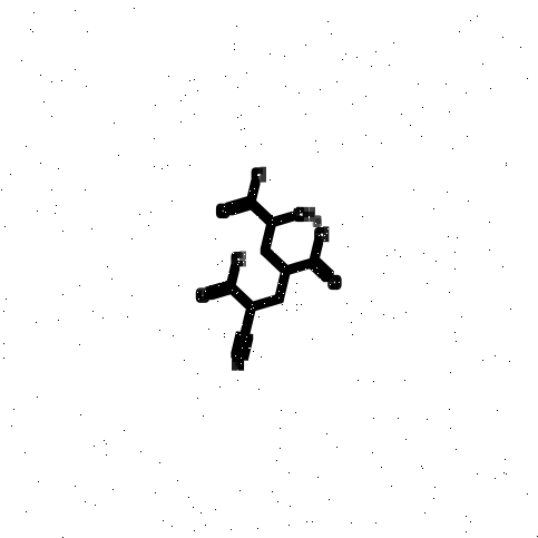 CC(CC(CC(C#N)C(=O)Cl)C(=O)Cl)C(=O)Cl